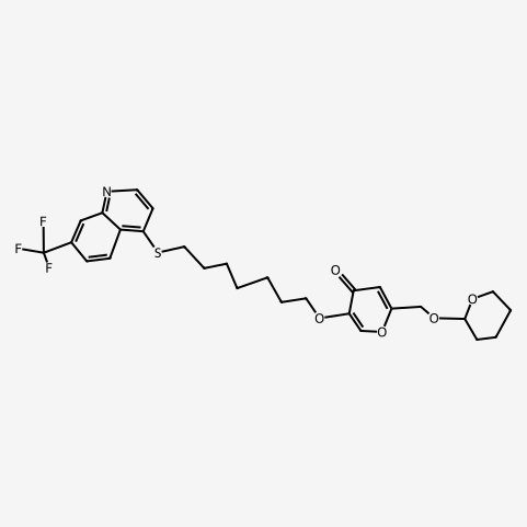 O=c1cc(COC2CCCCO2)occ1OCCCCCCCSc1ccnc2cc(C(F)(F)F)ccc12